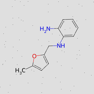 Cc1ccc(CNc2ccccc2N)o1